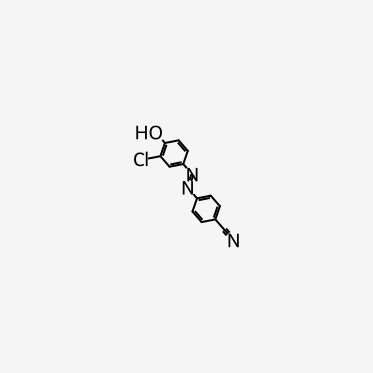 N#Cc1ccc(/N=N/c2ccc(O)c(Cl)c2)cc1